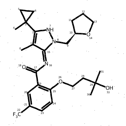 Cc1c(C2(C)CC2)[nH]n(C[C@H]2CCCO2)/c1=N/C(=O)c1cc(C(F)(F)F)ccc1OCCC(C)(C)O